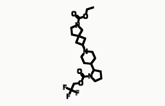 CCOC(=O)N1CCC2(CC(N3CCC(C4CCCN4C(=O)OCC(F)(F)F)CC3)C2)C1